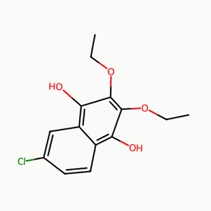 CCOc1c(OCC)c(O)c2cc(Cl)ccc2c1O